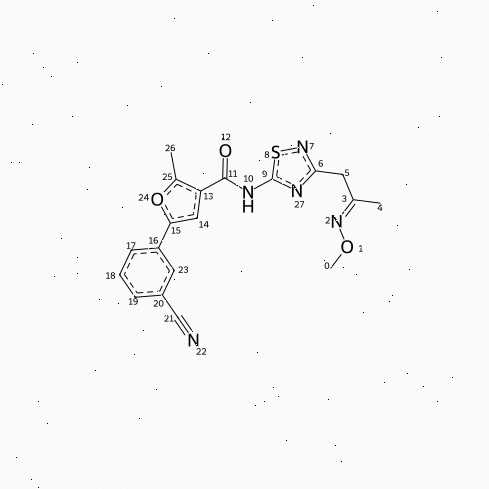 CON=C(C)Cc1nsc(NC(=O)c2cc(-c3cccc(C#N)c3)oc2C)n1